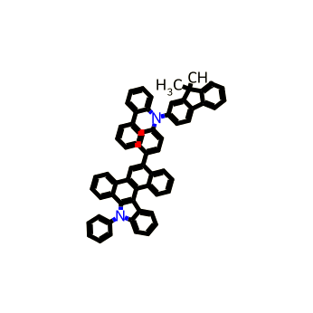 CC1(C)c2ccccc2-c2ccc(N(c3ccc(-c4cc5c6ccccc6c6c(c7ccccc7n6-c6ccccc6)c5c5ccccc45)cc3)c3ccccc3-c3ccccc3)cc21